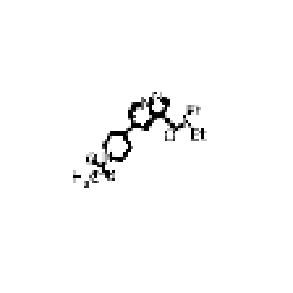 CCN(CC)C(=O)c1cnn2ccc(C3CCN(S(C)(=O)=O)CC3)cc12